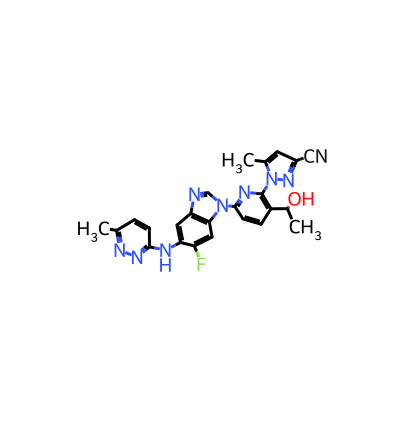 Cc1ccc(Nc2cc3ncn(-c4ccc(C(C)O)c(-n5nc(C#N)cc5C)n4)c3cc2F)nn1